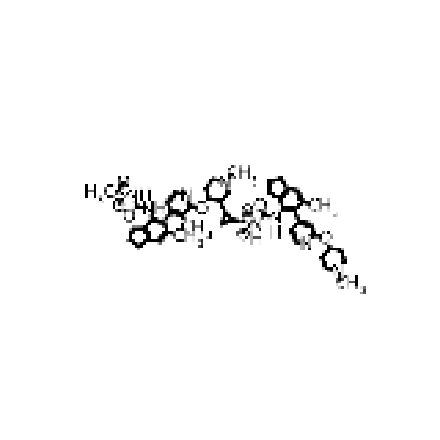 Cc1cc2c(c(NC(=O)NS(=O)(=O)C3CC3C3CN(C)CCC3Oc3nccc(-c4c(C)cc5c(c4NC(=O)NS(C)(=O)=O)CCC5)c3C)c1-c1ccnc(OC3CCN(C)CC3)c1)CCC2